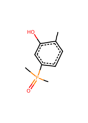 Cc1ccc(P(C)(C)=O)cc1O